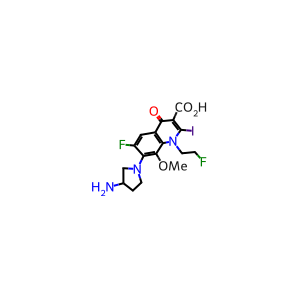 COc1c(N2CCC(N)C2)c(F)cc2c(=O)c(C(=O)O)c(I)n(CCF)c12